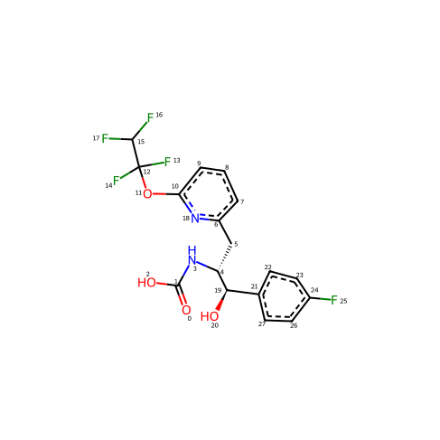 O=C(O)N[C@H](Cc1cccc(OC(F)(F)C(F)F)n1)[C@H](O)c1ccc(F)cc1